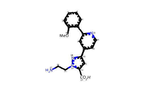 COc1ccccc1-c1cc(-c2cc(C(=O)O)n(CCN)n2)ccn1